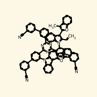 C=Cc1c(-c2oc3ccccc3c2C)c2ccccc2n1-c1cc(-c2cccc(C#N)c2)ccc1-c1nc(-c2cccc(-c3cccc(C#N)c3)c2)nc(-c2ccc(-c3cccc(C#N)c3)cc2-n2c3ccccc3c3c4oc5ccccc5c4ccc32)n1